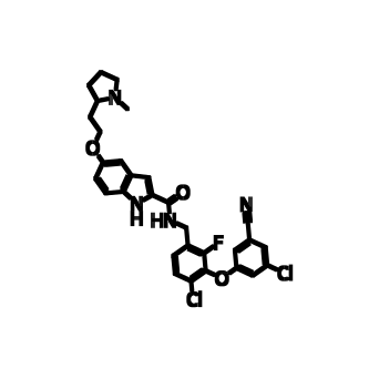 CN1CCCC1CCOc1ccc2[nH]c(C(=O)NCc3ccc(Cl)c(Oc4cc(Cl)cc(C#N)c4)c3F)cc2c1